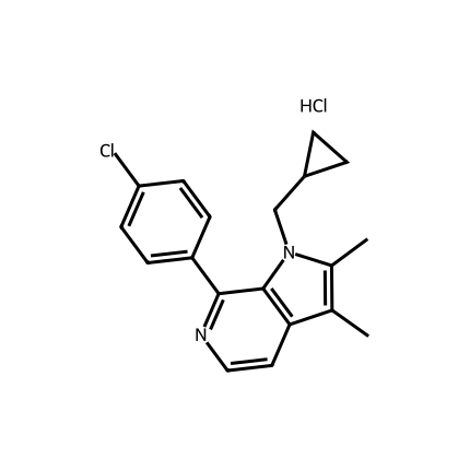 Cc1c(C)n(CC2CC2)c2c(-c3ccc(Cl)cc3)nccc12.Cl